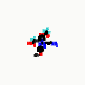 CCCOc1ccc(/N=C(\NCCCN)N2CCCCC2CC)cc1.O=C(O)C(F)(F)F.O=C(O)C(F)(F)F